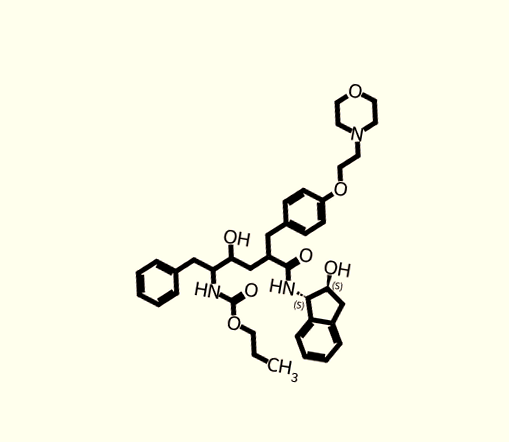 CCCOC(=O)NC(Cc1ccccc1)C(O)CC(Cc1ccc(OCCN2CCOCC2)cc1)C(=O)N[C@H]1c2ccccc2C[C@@H]1O